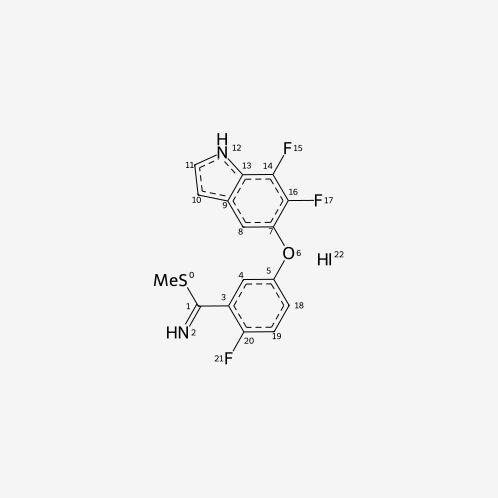 CSC(=N)c1cc(Oc2cc3cc[nH]c3c(F)c2F)ccc1F.I